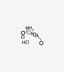 Cl.NC[C@]1(c2cccc(Cl)c2)CC[C@H](N2CCN(CCCc3ccccc3)CC2)CC1